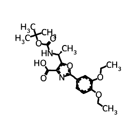 CCOc1ccc(-c2nc(C(=O)O)c([C@H](C)NC(=O)OC(C)(C)C)o2)cc1OCC